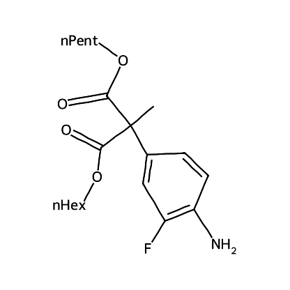 CCCCCCOC(=O)C(C)(C(=O)OCCCCC)c1ccc(N)c(F)c1